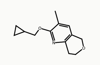 Cc1cc2c(nc1OCC1CC1)CCOC2